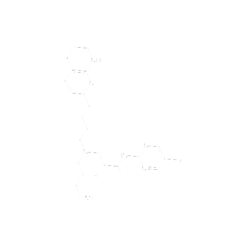 COC[C@@H](F)CN(CCCCc1ccc2c(n1)NCCC2)CCC(Nc1ncc(Br)cn1)C(=O)O